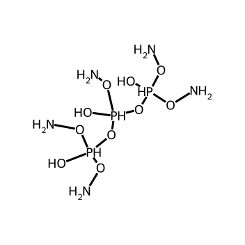 NO[PH](O)(ON)O[PH](O)(ON)O[PH](O)(ON)ON